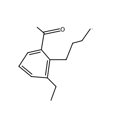 [CH2]CCCc1c(CC)cccc1C(C)=O